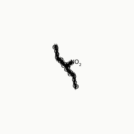 C=CC(=O)OCCOCCOCCOc1ccc(OC(=O)C2CCC(C(=O)Oc3ccc(OC(=O)C4CCC(C(=O)Oc5ccc(OCCOCCOCCOC(=O)C=C)cc5)CC4)c4sc(-c5ccc([N+](=O)[O-])cc5)nc34)CC2)cc1